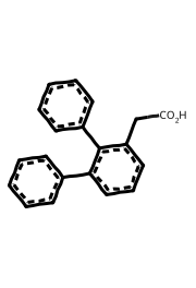 O=C(O)Cc1cccc(-c2ccccc2)c1-c1ccccc1